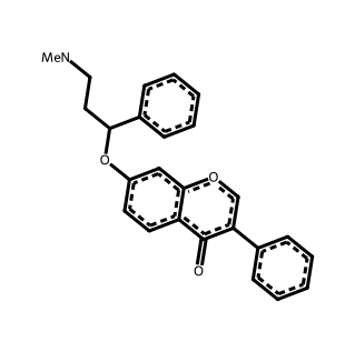 CNCCC(Oc1ccc2c(=O)c(-c3ccccc3)coc2c1)c1ccccc1